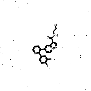 Cc1cc(-c2ncccc2-c2ccn3ncc(C(=O)NCCO)c3c2)ccc1F